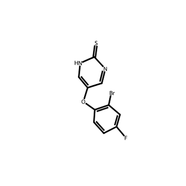 Fc1ccc(Oc2cnc(=S)[nH]c2)c(Br)c1